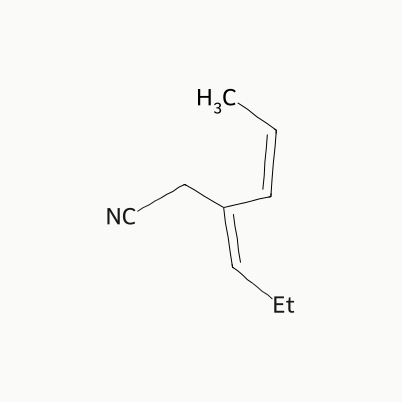 C/C=C\C(=C/CC)CC#N